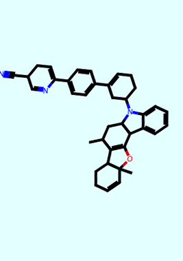 CC1CC2C(C3=C1C1CCC=CC1(C)O3)c1ccccc1N2C1CCC=C(c2ccc(C3=CCC(C#N)C=N3)cc2)C1